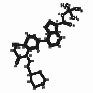 CC(C)(C)OC(=O)n1ccc2c(-c3cnc4c(n3)N(CCC3CCOCC3)C(=O)CN4)ccnc21